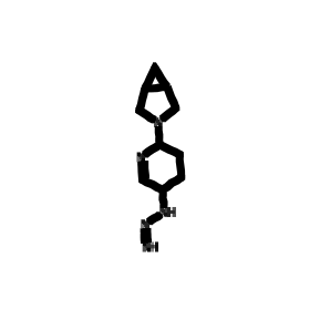 N=NNC1C=NC(N2CC3CC3C2)CC1